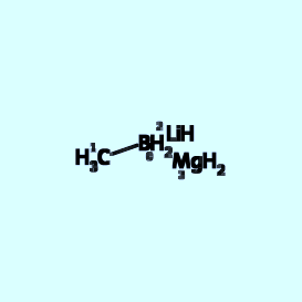 BC.[LiH].[MgH2]